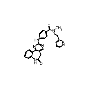 CN(CCc1cccnc1)C(=O)c1ccc(Nc2ncc3c(n2)-c2ccccc2NC(=O)C3)cc1